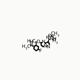 CNc1ccc(F)cc1C(C)Oc1ccn2ncc(C3=NOC(C)(C)N3)c2n1